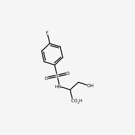 O=C(O)C(CO)NS(=O)(=O)c1ccc(F)cc1